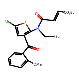 CCOC(=O)/C=C/C(=O)N(CC(C)(C)C)c1sc(Cl)cc1C(=O)c1ccccc1OC